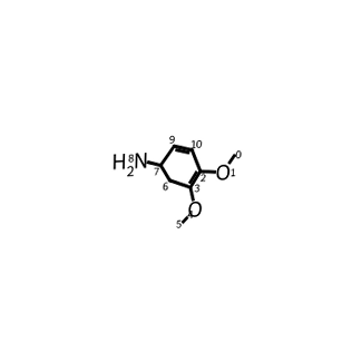 COC1=C(OC)CC(N)C=C1